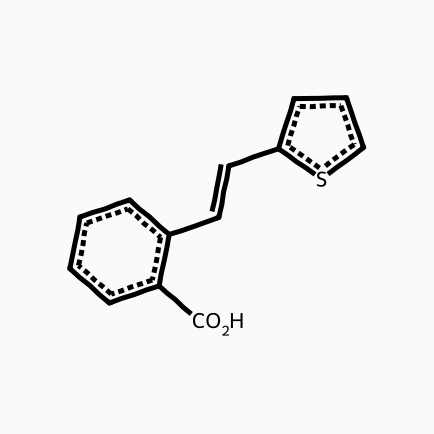 O=C(O)c1ccccc1C=Cc1cccs1